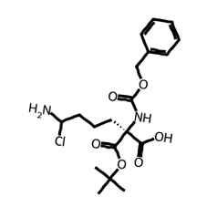 CC(C)(C)OC(=O)[C@@](CCCC(N)Cl)(NC(=O)OCc1ccccc1)C(=O)O